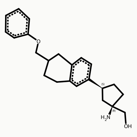 N[C@]1(CO)CC[C@H](c2ccc3c(c2)CCC(COc2ccccc2)C3)C1